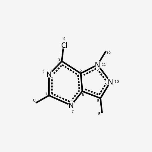 Cc1nc(Cl)c2c(n1)c(C)nn2C